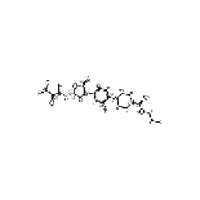 CCCOC(=S)N1CCN(c2ccc(N3C[C@H](CNC(=O)C(F)F)OC3=O)cc2F)CC1